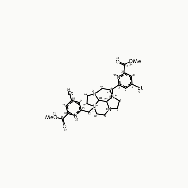 CCc1cc(C[N+]23CCN4CC[N+]5(Cc6cc(CC)cc(C(=O)OC)n6)CCN(CC2)C5C43)nc(C(=O)OC)c1